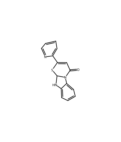 O=C1C=C(c2ccccn2)SC2Nc3ccccc3N12